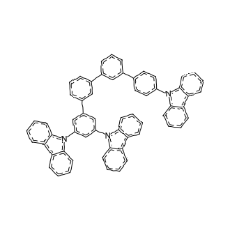 c1cc(-c2ccc(-n3c4ccccc4c4ccccc43)cc2)cc(-c2cccc(-c3cc(-n4c5ccccc5c5ccccc54)cc(-n4c5ccccc5c5ccccc54)c3)c2)c1